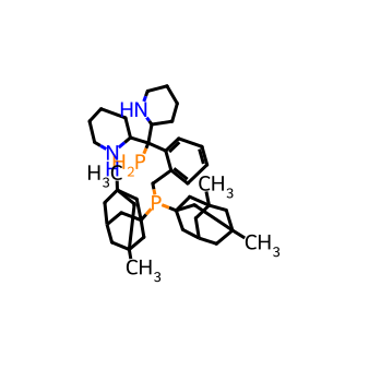 CC12CC3CC(C)(C1)CC(P(Cc1ccccc1C(P)(C1CCCCN1)C1CCCCN1)C14CC5CC(C)(CC(C)(C5)C1)C4)(C3)C2